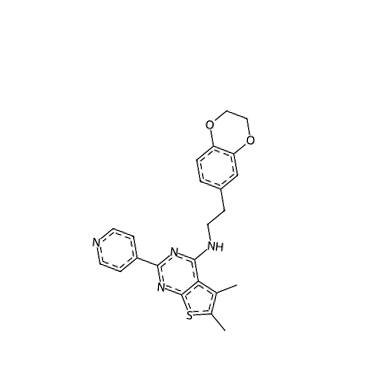 Cc1sc2nc(-c3ccncc3)nc(NCCc3ccc4c(c3)OCCO4)c2c1C